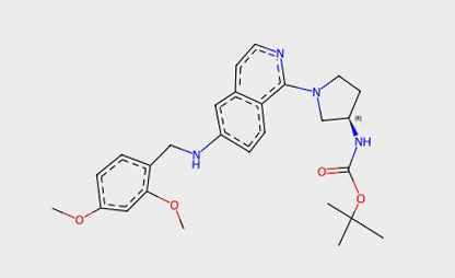 COc1ccc(CNc2ccc3c(N4CC[C@@H](NC(=O)OC(C)(C)C)C4)nccc3c2)c(OC)c1